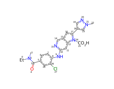 CCN(C)C(=O)c1ccc(Nc2cc3c(cn2)cc(-c2cnn(C)c2)n3C(=O)O)c(Cl)c1